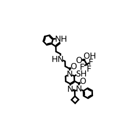 O=C(CCNCCc1c[nH]c2ccccc12)N1CCc2nc(C3CCC3)n(-c3ccccc3)c(=O)c2C1S.O=C(O)C(F)(F)F